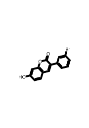 O=c1oc2cc(O)ccc2cc1-c1cccc(Br)c1